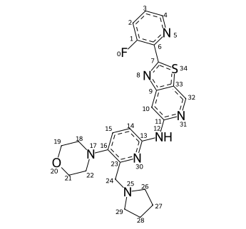 Fc1cccnc1-c1nc2cc(Nc3ccc(N4CCOCC4)c(CN4CCCC4)n3)ncc2s1